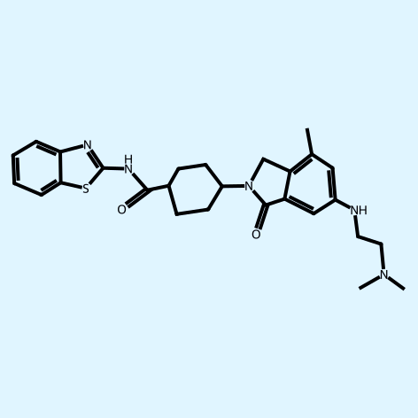 Cc1cc(NCCN(C)C)cc2c1CN(C1CCC(C(=O)Nc3nc4ccccc4s3)CC1)C2=O